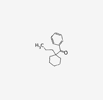 CCCC1(C(=O)c2ccccc2)CCCCC1